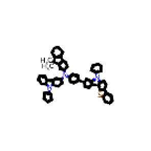 CC1(C)c2ccccc2-c2ccc(N(c3ccc(-c4ccc5c6c7sc8ccccc8c7ccc6n(-c6ccccc6)c5c4)cc3)c3ccc4c(c3)c3ccccc3n4-c3ccccc3)cc21